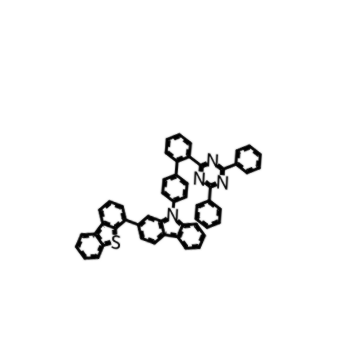 c1ccc(-c2nc(-c3ccccc3)nc(-c3ccccc3-c3ccc(-n4c5ccccc5c5ccc(-c6cccc7c6sc6ccccc67)cc54)cc3)n2)cc1